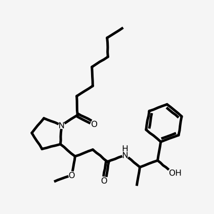 CCCCCCC(=O)N1CCCC1C(CC(=O)NC(C)C(O)c1ccccc1)OC